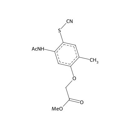 COC(=O)COc1cc(NC(C)=O)c(SC#N)cc1C